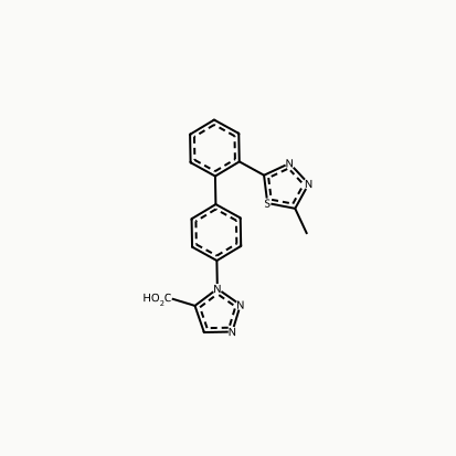 Cc1nnc(-c2ccccc2-c2ccc(-n3nncc3C(=O)O)cc2)s1